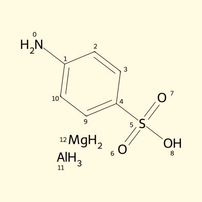 Nc1ccc(S(=O)(=O)O)cc1.[AlH3].[MgH2]